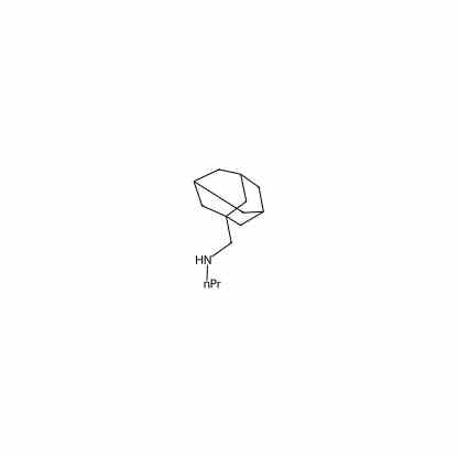 CCCNCC12CC3CC(CC(C3)C1)C2